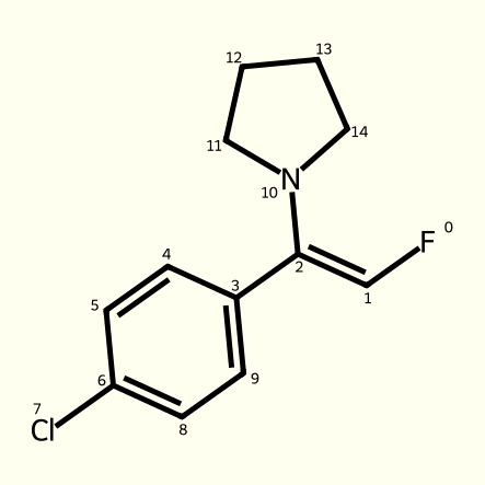 FC=C(c1ccc(Cl)cc1)N1CCCC1